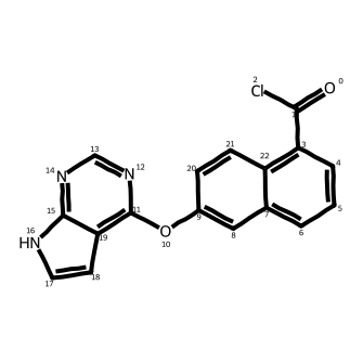 O=C(Cl)c1cccc2cc(Oc3ncnc4[nH]ccc34)ccc12